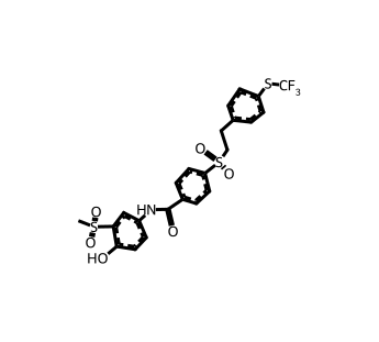 CS(=O)(=O)c1cc(NC(=O)c2ccc(S(=O)(=O)CCc3ccc(SC(F)(F)F)cc3)cc2)ccc1O